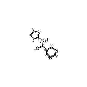 O=C(Nc1cccs1)c1cncnc1